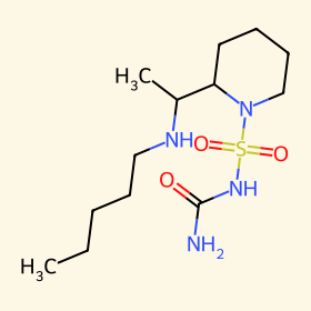 CCCCCNC(C)C1CCCCN1S(=O)(=O)NC(N)=O